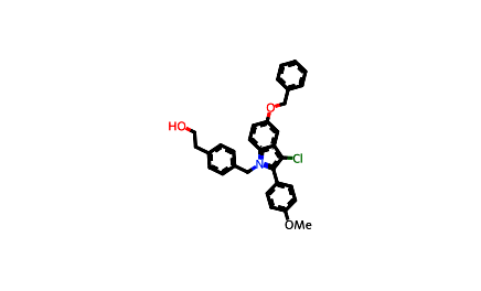 COc1ccc(-c2c(Cl)c3cc(OCc4ccccc4)ccc3n2Cc2ccc(CCO)cc2)cc1